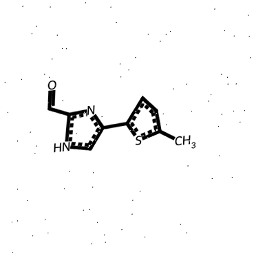 Cc1ccc(-c2c[nH]c(C=O)n2)s1